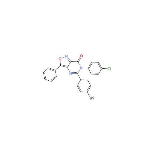 CC(C)c1ccc(-c2nc3c(-c4ccccc4)onc3c(=O)n2-c2ccc(Cl)cc2)cc1